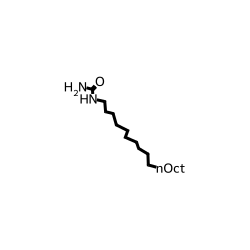 CCCCCCCCCCCCCCCCCCNC(N)=O